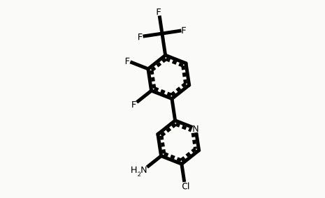 Nc1cc(-c2ccc(C(F)(F)F)c(F)c2F)ncc1Cl